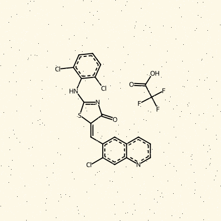 O=C(O)C(F)(F)F.O=C1N=C(Nc2c(Cl)cccc2Cl)SC1=Cc1cc2cccnc2cc1Cl